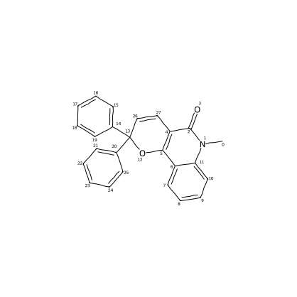 Cn1c(=O)c2c(c3ccccc31)OC(c1ccccc1)(c1ccccc1)C=C2